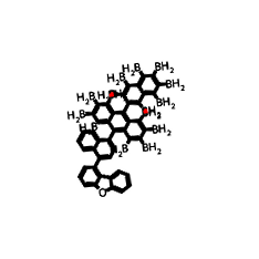 Bc1c(B)c(B)c2c(B)c(-c3c4c(B)c(B)c(B)c(B)c4c(-c4ccc(-c5cccc6oc7ccccc7c56)c5ccccc45)c4c(B)c(B)c(B)c(B)c34)c(B)c(B)c2c1B